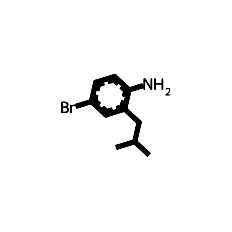 CC(C)Cc1cc(Br)ccc1N